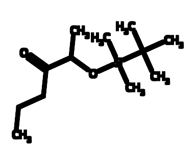 CCCC(=O)C(C)O[Si](C)(C)C(C)(C)C